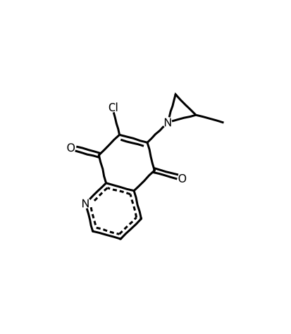 CC1CN1C1=C(Cl)C(=O)c2ncccc2C1=O